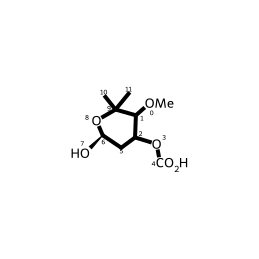 COC1C(OC(=O)O)C[C@@H](O)OC1(C)C